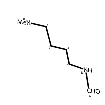 CNCCCCNC=O